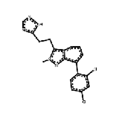 Cn1nc2c(-c3ccc(Cl)cc3Cl)cccc2c1CCc1ncn[nH]1